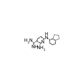 N=C(N)c1ccc(Nc2cccc3c2CCC3)nc1N